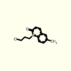 Cc1ccc2c(ccc(=O)n2CCCCl)c1